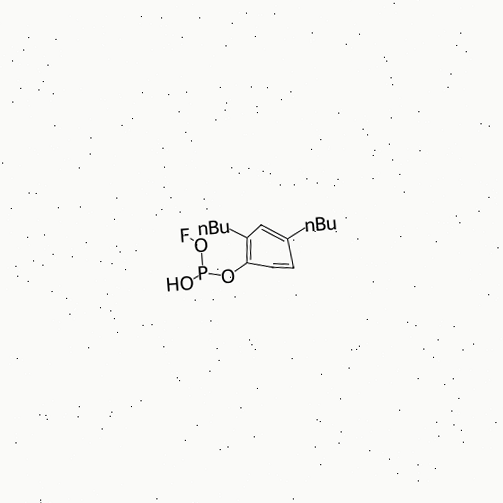 CCCCc1ccc(OP(O)OF)c(CCCC)c1